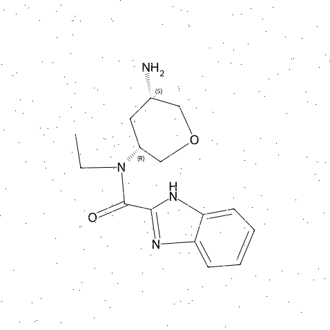 CCN(C(=O)c1nc2ccccc2[nH]1)[C@H]1COC[C@@H](N)C1